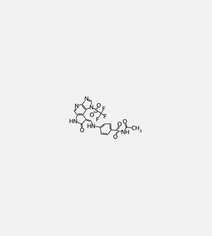 CC(=O)NS(=O)(=O)c1ccc(N/C=C2\C(=O)Nc3cnc4ncn(S(=O)(=O)C(F)(F)F)c4c32)cc1